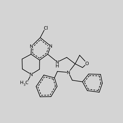 CN1CCc2nc(Cl)nc(NCC3(N(Cc4ccccc4)Cc4ccccc4)COC3)c2C1